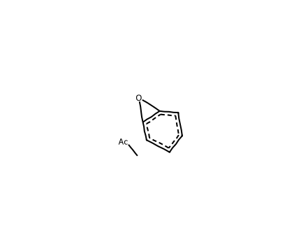 CC(C)=O.c1ccc2c(c1)O2